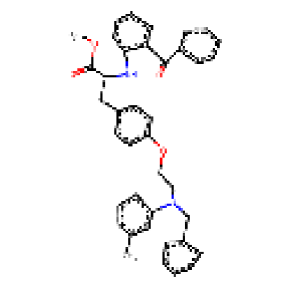 COC(=O)[C@H](Cc1ccc(OCCN(Cc2ccccc2)c2cccc(C)c2)cc1)Nc1ccccc1C(=O)c1ccccc1